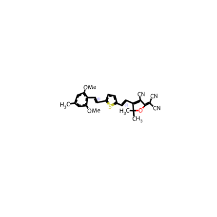 COc1cc(C)cc(OC)c1/C=C/c1ccc(/C=C/C2=C(C#N)C(=C(C#N)C#N)OC2(C)C)s1